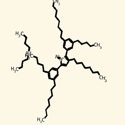 CCCCCCCCC1=C(c2cc(CCCCC)cc(CCCCCCCC)c2)[N+](=[N-])C(c2cc(CCCCC)cc(CCCCCCCC)c2)=C1.CCC[CH2][Pd][CH2]CCC